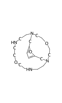 c1cc2oc1CN1CCNCCOCCNCCN(CCOCC1)C2